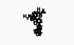 COc1c(Nc2cc(NC(=O)C3CC3)nnc2C(N)=O)cccc1-c1cnn([C@H]2CCC23OCCO3)c1